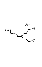 OCCCP(CCCO)CCCO.[Au]